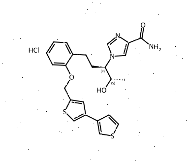 C[C@H](O)[C@@H](CCc1ccccc1OCc1cc(-c2ccsc2)cs1)n1cnc(C(N)=O)c1.Cl